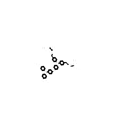 C=C(C)C(=O)OCCc1ccc(N(c2ccc(CCOC(=O)C(=C)C)cc2)c2ccc(Oc3ccc(N(c4ccc(C)cc4)c4ccc(C)cc4)cc3)cc2)cc1